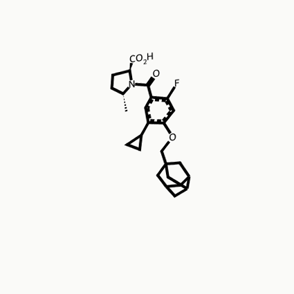 C[C@@H]1CC[C@@H](C(=O)O)N1C(=O)c1cc(C2CC2)c(OCC23CC4CC(C2)C(C4)C3)cc1F